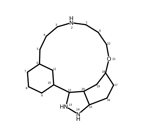 C1CNCCCC2CCCC(C2)C2NNC3CCC(CC32)OC1